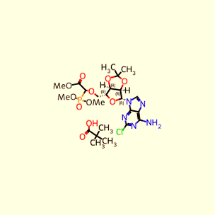 CC(C)(C)C(=O)O.COC(=O)C(OC[C@H]1O[C@@H](n2cnc3c(N)nc(Cl)nc32)[C@@H]2OC(C)(C)O[C@@H]21)P(=O)(OC)OC